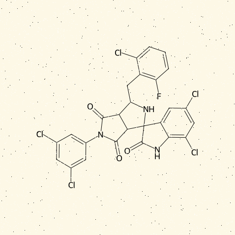 O=C1C2C(Cc3c(F)cccc3Cl)NC3(C(=O)Nc4c(Cl)cc(Cl)cc43)C2C(=O)N1c1cc(Cl)cc(Cl)c1